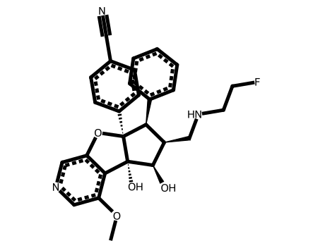 COc1cncc2c1[C@]1(O)[C@H](O)[C@H](CNCCF)[C@H](c3ccccc3)[C@]1(c1ccc(C#N)cc1)O2